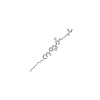 C=CC(=O)OCCCCOc1ccc(C(=O)Oc2ccc(C(=O)Oc3ccc(CCCCCCCCCC)cc3)cc2OC)cc1OC